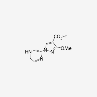 CCOC(=O)c1cn(C2=CNCC=N2)nc1OC